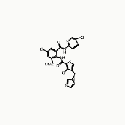 COc1cc(Cl)cc(C(=O)Nc2ccc(Cl)cn2)c1NC(=O)c1scc(Cn2ccnc2)c1Cl